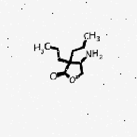 CCCC1(CCC)C(=O)OCC1N